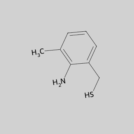 Cc1cccc(CS)c1N